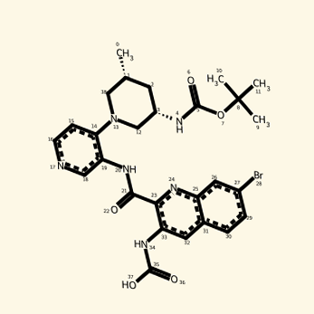 C[C@@H]1C[C@H](NC(=O)OC(C)(C)C)CN(c2ccncc2NC(=O)c2nc3cc(Br)ccc3cc2NC(=O)O)C1